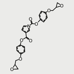 O=C(Oc1ccc(OCC2CO2)cc1)c1ccn(C(=O)Oc2ccc(OCC3CO3)cc2)c1